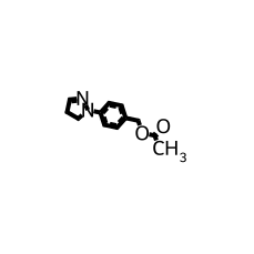 CC(=O)OCc1ccc(N2CCC=N2)cc1